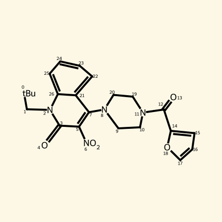 CC(C)(C)Cn1c(=O)c([N+](=O)[O-])c(N2CCN(C(=O)c3ccco3)CC2)c2ccccc21